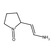 NC=CC1CCC[N+]1=O